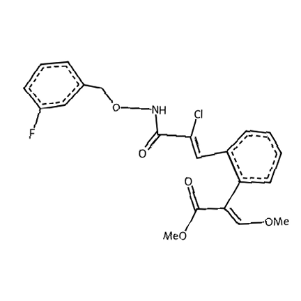 CO/C=C(/C(=O)OC)c1ccccc1/C=C(\Cl)C(=O)NOCc1cccc(F)c1